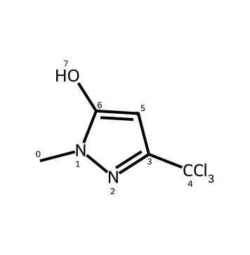 Cn1nc(C(Cl)(Cl)Cl)cc1O